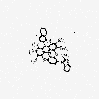 Bc1c(B)c(B)c2c(-c3ccc4ccccc4c3)c3c(B)c(B)c(B)c(B)c3c(-c3cccc(-n4c(C)nc5ccccc54)c3)c2c1B